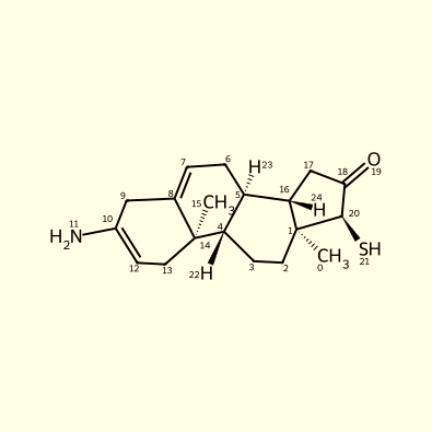 C[C@]12CC[C@H]3[C@@H](CC=C4CC(N)=CC[C@@]43C)[C@@H]1CC(=O)[C@H]2S